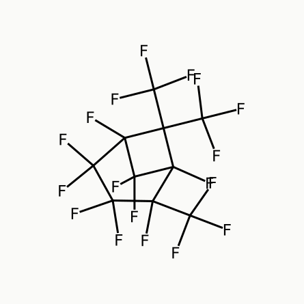 FC(F)(F)C1(F)C(F)(F)C(F)(F)C2(F)C(F)(F)C1(F)C2(C(F)(F)F)C(F)(F)F